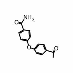 CC(=O)c1ccc(Oc2ccc(C(N)=O)cc2)cc1